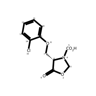 O=C1OCN(C(=O)O)[C@H]1COc1ccccc1Cl